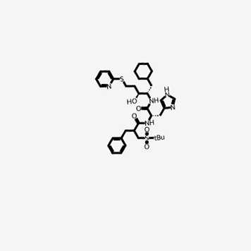 CC(C)(C)S(=O)(=O)CC(Cc1ccccc1)C(=O)N[C@@H](Cc1c[nH]cn1)C(=O)N[C@@H](CC1CCCCC1)[C@@H](O)CCSc1ccccn1